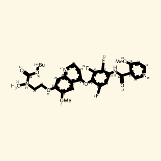 COc1cc2c(Oc3c(F)cc(NC(=O)c4cnccc4OC)c(F)c3F)ccnc2cc1OCCN(C)C(=O)OC(C)(C)C